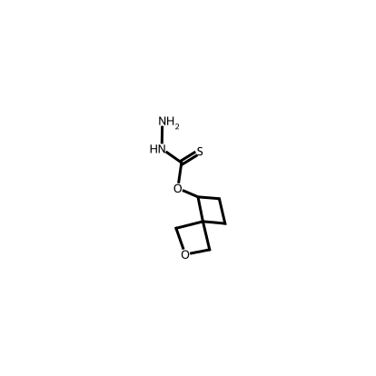 NNC(=S)OC1CCC12COC2